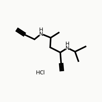 C#CCNC(C)CC(C#C)NC(C)C.Cl